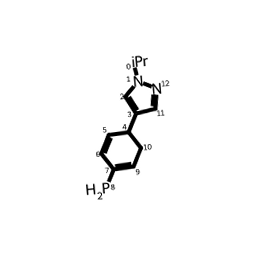 CC(C)n1cc(C2C=CC(P)=CC2)cn1